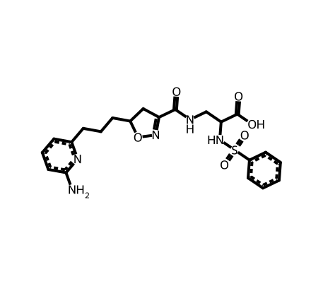 Nc1cccc(CCCC2CC(C(=O)NCC(NS(=O)(=O)c3ccccc3)C(=O)O)=NO2)n1